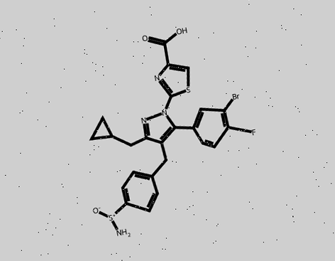 N[S+]([O-])c1ccc(Cc2c(CC3CC3)nn(-c3nc(C(=O)O)cs3)c2-c2ccc(F)c(Br)c2)cc1